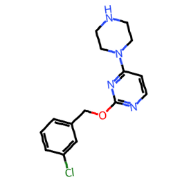 Clc1cccc(COc2nccc(N3CCNCC3)n2)c1